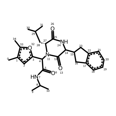 Cc1cc(C(C(=O)NC(C)C)N2C(=O)C(C3Cc4ccccc4C3)NC(=O)[C@H]2CC(C)C)oc1C